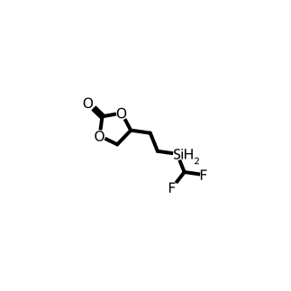 O=C1OCC(CC[SiH2]C(F)F)O1